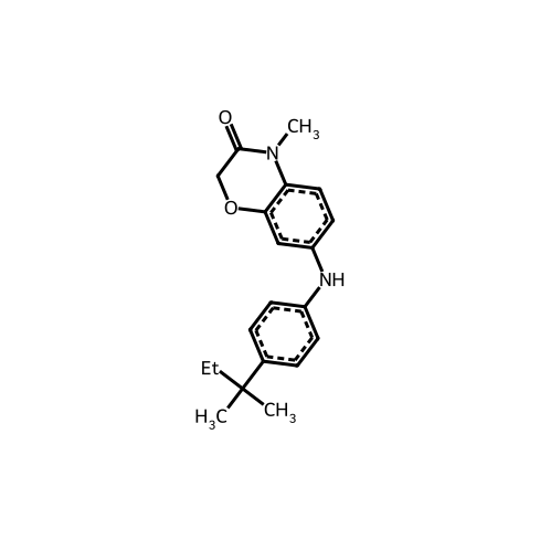 CCC(C)(C)c1ccc(Nc2ccc3c(c2)OCC(=O)N3C)cc1